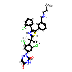 COCCN=Cc1cccc(-c2sc(C(C)(C)c3c(Cl)cc(-n4ncc(=O)[nH]c4=O)cc3Cl)nc2-c2ccccc2Cl)c1